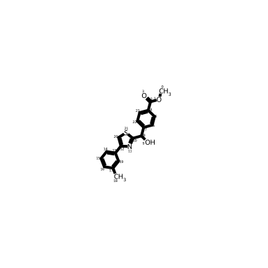 COC(=O)c1ccc(C(O)c2nc(-c3cccc(C)c3)cs2)cc1